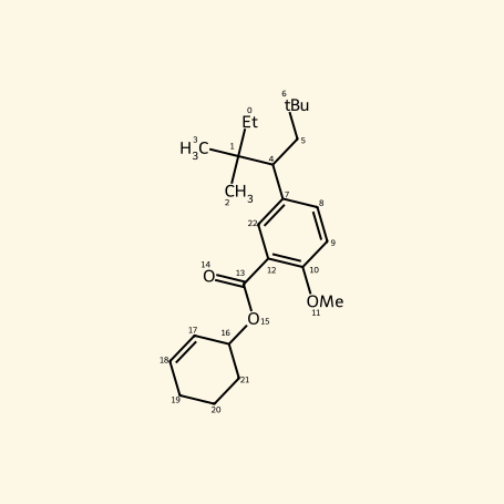 CCC(C)(C)C(CC(C)(C)C)c1ccc(OC)c(C(=O)OC2C=CCCC2)c1